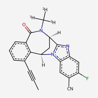 [2H]C([2H])([2H])N1C(=O)c2cccc(C#CC)c2[C@H]2C[C@@H]1c1nc3cc(F)c(C#N)cc3n12